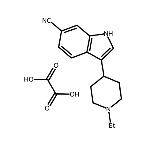 CCN1CCC(c2c[nH]c3cc(C#N)ccc23)CC1.O=C(O)C(=O)O